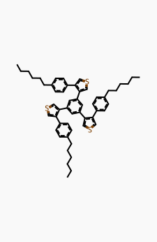 CCCCCCc1ccc(-c2cscc2-c2cc(-c3cscc3-c3ccc(CCCCCC)cc3)cc(-c3cscc3-c3ccc(CCCCCC)cc3)c2)cc1